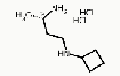 C[C@H](N)CCNC1CCC1.Cl.Cl